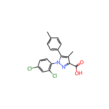 Cc1ccc(-c2c(C)c(C(=O)O)nn2-c2ccc(Cl)cc2Cl)cc1